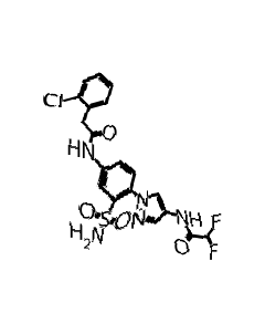 NS(=O)(=O)c1cc(NC(=O)Cc2ccccc2Cl)ccc1-n1cc(NC(=O)C(F)F)cn1